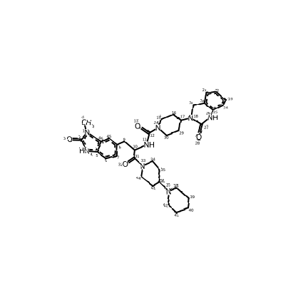 Cn1c(=O)[nH]c2ccc(CC(NC(=O)N3CCC(N4Cc5ccccc5NC4=O)CC3)C(=O)N3CCC(N4CCCCC4)CC3)cc21